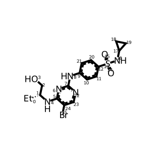 CC[C@H](CO)Nc1nc(Nc2ccc(S(=O)(=O)NC3CC3)cc2)ncc1Br